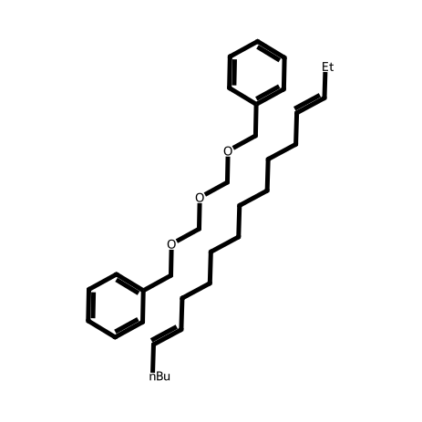 CC/C=C/CCCCCCCC/C=C/CCCC.c1ccc(COCOCOCc2ccccc2)cc1